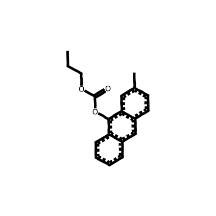 CCCOC(=O)Oc1c2ccccc2cc2ccc(C)cc12